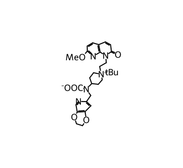 COc1ccc2ccc(=O)n(CC[N+]3(C(C)(C)C)CCC(N(Cc4cc5c(cn4)OCCO5)C(=O)[O-])CC3)c2n1